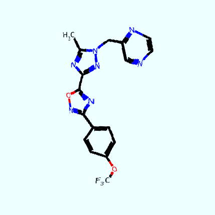 Cc1nc(-c2nc(-c3ccc(OC(F)(F)F)cc3)no2)nn1Cc1cnccn1